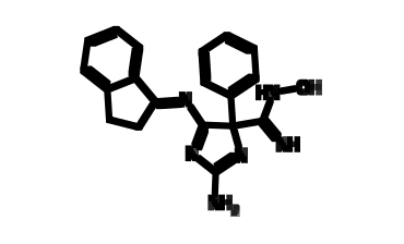 N=C(NO)C1(c2ccccc2)N=C(N)N=C1N=C1CCc2ccccc21